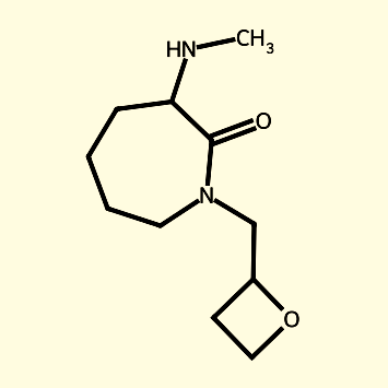 CNC1CCCCN(CC2CCO2)C1=O